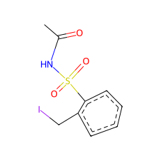 CC(=O)NS(=O)(=O)c1ccccc1CI